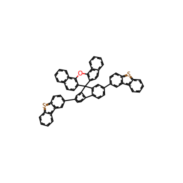 c1ccc2c3c(ccc2c1)C1(c2cc(-c4ccc5sc6ccccc6c5c4)ccc2-c2ccc(-c4ccc5sc6ccccc6c5c4)cc21)c1ccc2ccccc2c1O3